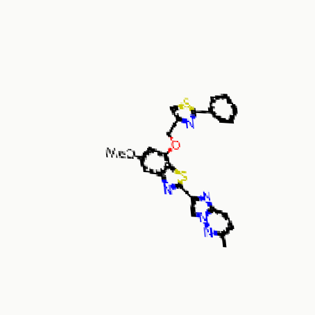 COc1cc(OCc2csc(-c3ccccc3)n2)c2sc(-c3cn4nc(C)ccc4n3)nc2c1